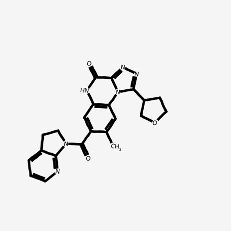 Cc1cc2c(cc1C(=O)N1CCc3cccnc31)[nH]c(=O)c1nnc(C3CCOC3)n12